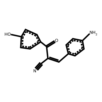 N#CC(=Cc1ccc(N)cc1)C(=O)c1ccc(O)cc1